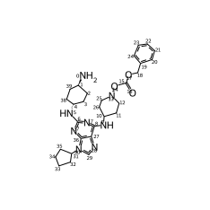 N[C@H]1CC[C@H](Nc2nc(NC3CCN(OC(=O)OCc4ccccc4)CC3)c3ncn(C4CCCC4)c3n2)CC1